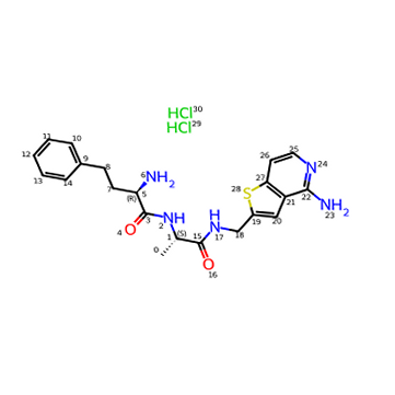 C[C@H](NC(=O)[C@H](N)CCc1ccccc1)C(=O)NCc1cc2c(N)nccc2s1.Cl.Cl